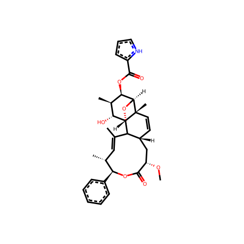 CO[C@H]1C[C@H]2C=C[C@]3(C)[C@H]4[C@H](O)[C@@H](C)[C@@H](OC(=O)c5ccc[nH]5)[C@@H]3O[C@@]24/C(C)=C/[C@@H](C)[C@H](c2ccccc2)OC1=O